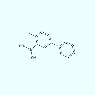 Cc1ccc(-c2ccccc2)cc1B(O)O